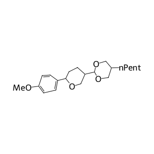 CCCCCC1COC(C2CCC(c3ccc(OC)cc3)OC2)OC1